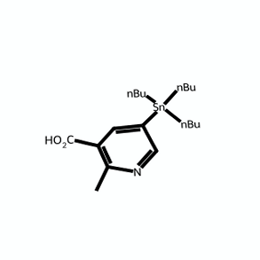 CCC[CH2][Sn]([CH2]CCC)([CH2]CCC)[c]1cnc(C)c(C(=O)O)c1